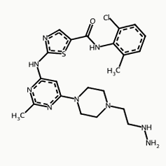 Cc1nc(Nc2ncc(C(=O)Nc3c(C)cccc3Cl)s2)cc(N2CCN(CCNN)CC2)n1